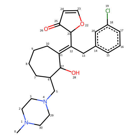 CN1CCN(CC2CCCCC(=C(Cc3cccc(Cl)c3)C3OC=CC3=O)C2O)CC1